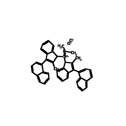 CC1=C(c2cccc3ccccc23)c2ccccc2[CH]1[Ti+2]([CH]1C(C)=C(c2cccc3ccccc23)c2ccccc21)=[Si](C)C.[Cl-].[Cl-]